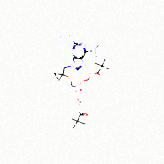 CN(C)c1nc(N)nc2c1ncn2CC1(OCP(=O)(OCOC(=O)C(C)(C)C)OCOC(=O)C(C)(C)C)CC1